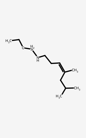 CCO[SiH2]NCCC=C(C)CC(C)C